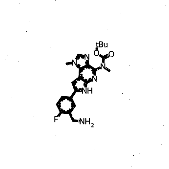 CN(C(=O)OC(C)(C)C)c1nc2[nH]c(-c3ccc(F)c(CN)c3)cc2c2c1ncn2C